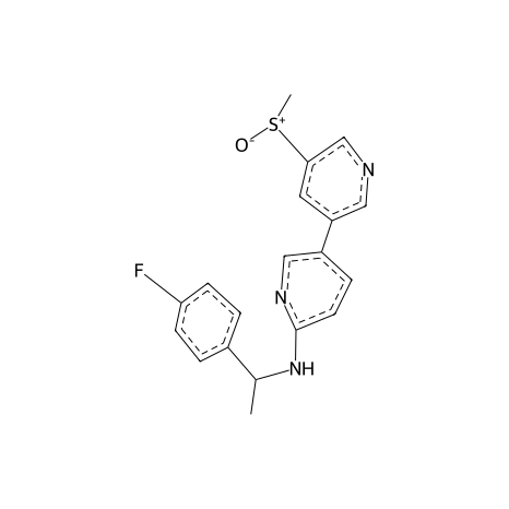 CC(Nc1ccc(-c2cncc([S+](C)[O-])c2)cn1)c1ccc(F)cc1